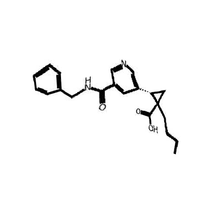 CCCCC1(C(=O)O)C[C@H]1c1cncc(C(=O)NCc2ccccc2)c1